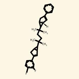 CC(C)(CCC(C)(C)C1C2CC(c3ccccc3)=C[C@@H]21)C1C2C=C(c3ccc(F)c(F)c3)CC21